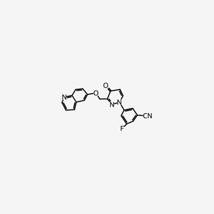 N#Cc1cc(F)cc(-n2ccc(=O)c(COc3ccc4ncccc4c3)n2)c1